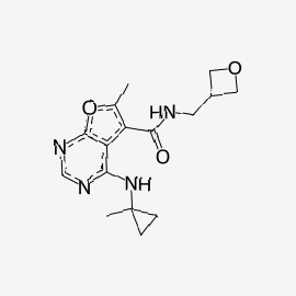 Cc1oc2ncnc(NC3(C)CC3)c2c1C(=O)NCC1COC1